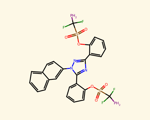 O=S(=O)(Oc1ccccc1-c1nc(-c2ccccc2OS(=O)(=O)C(F)(F)P)n(-c2ccc3ccccc3c2)n1)C(F)(F)P